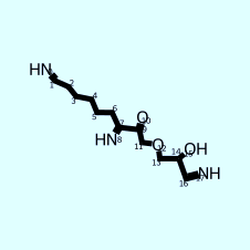 N=CCCCCCC(=N)C(=O)COCC(O)C=N